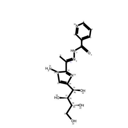 C/C(=N\NC(=O)c1cccnc1)c1nc([C@@H](O)[C@H](O)[C@H](O)CO)cn1N